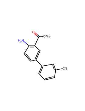 COC(=O)c1cc(-c2cccc(C#N)c2)ccc1N